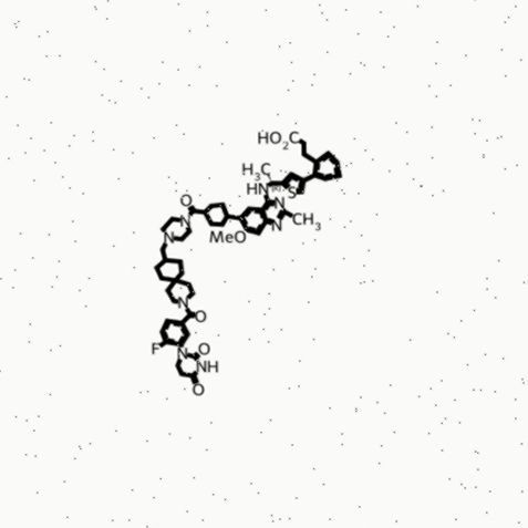 COc1cc2nc(C)nc(N[C@H](C)c3cc(-c4ccccc4CCC(=O)O)cs3)c2cc1C1CCC(C(=O)N2CCN(CC3CCC4(CC3)CCN(C(=O)c3ccc(F)c(N5CCC(=O)NC5=O)c3)CC4)CC2)CC1